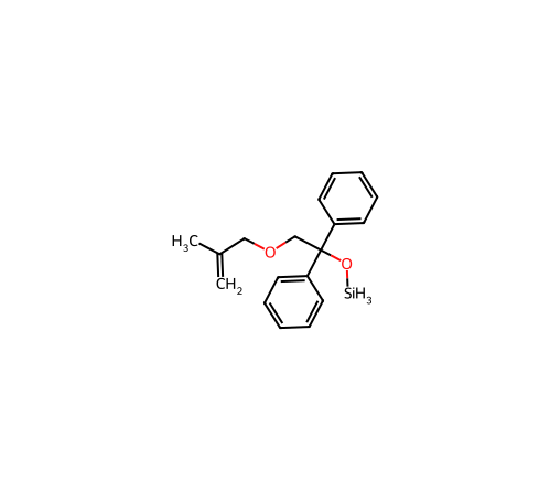 C=C(C)COCC(O[SiH3])(c1ccccc1)c1ccccc1